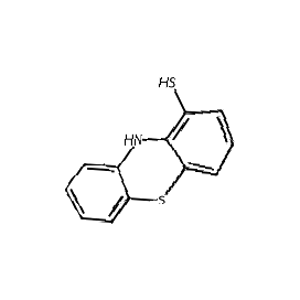 Sc1cccc2c1Nc1ccccc1S2